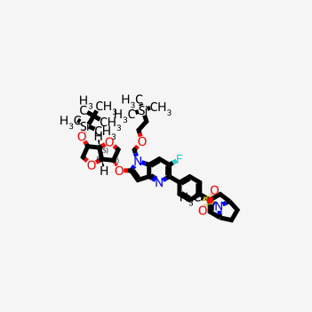 CC(C)(C)[Si](C)(C)OC1CO[C@H]2[C@@H]1OC[C@H]2Oc1cc2nc(-c3ccc(C4=CC5CCC(C4)N5S(C)(=O)=O)cc3)c(F)cc2n1COCC[Si](C)(C)C